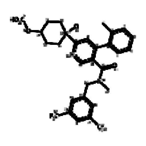 Cc1ccccc1-c1cc([N+]2([O-])CCC(OC(=O)O)CC2)ncc1C(=O)N(C)Cc1cc(C(F)(F)F)cc(C(F)(F)F)c1